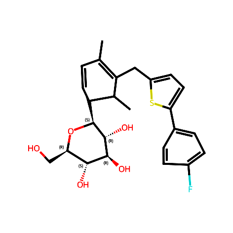 CC1=C(Cc2ccc(-c3ccc(F)cc3)s2)C(C)C([C@@H]2O[C@H](CO)[C@@H](O)[C@H](O)[C@H]2O)C=C1